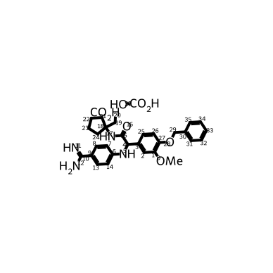 COc1cc(C(Nc2ccc(C(=N)N)cc2)C(=O)NC2(CC(=O)O)CCCC2)ccc1OCc1ccccc1.O=C(O)O